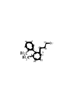 Cc1ccccc1-c1c(C)cccc1CCCI